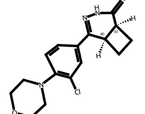 O=C1NN=C(c2ccc(N3CCOCC3)c(Cl)c2)[C@@H]2CC[C@H]12